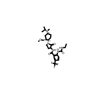 CCNC(=O)Nc1ccc(C(F)(F)F)cc1C(=O)NC1CCN([C@H]2CC[C@@H](N(C)C(C)C)C[C@@H]2COC)C1=O